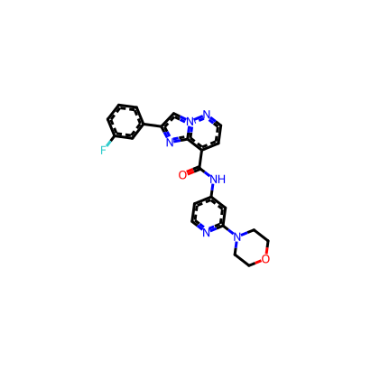 O=C(Nc1ccnc(N2CCOCC2)c1)c1ccnn2cc(-c3cccc(F)c3)nc12